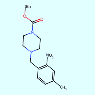 Cc1ccc(CN2CCN(C(=O)OC(C)(C)C)CC2)c([N+](=O)[O-])c1